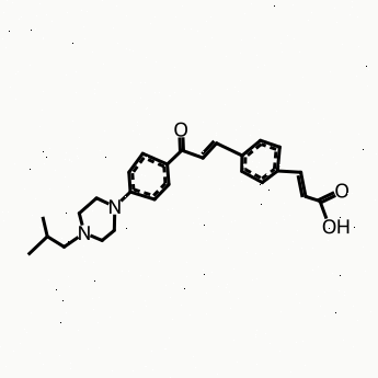 CC(C)CN1CCN(c2ccc(C(=O)C=Cc3ccc(C=CC(=O)O)cc3)cc2)CC1